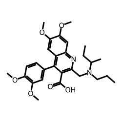 CCCN(Cc1nc2cc(OC)c(OC)cc2c(-c2ccc(OC)c(OC)c2)c1C(=O)O)C(C)CC